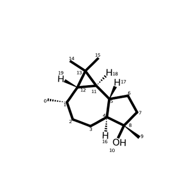 C[C@H]1CC[C@H]2[C@@H](CC[C@]2(C)O)[C@H]2[C@H]1C2(C)C